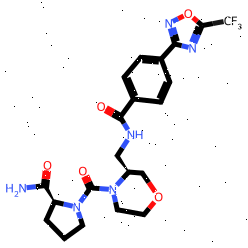 NC(=O)[C@@H]1CCCN1C(=O)N1CCOC[C@@H]1CNC(=O)c1ccc(-c2noc(C(F)(F)F)n2)cc1